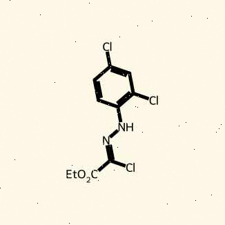 CCOC(=O)/C(Cl)=N/Nc1ccc(Cl)cc1Cl